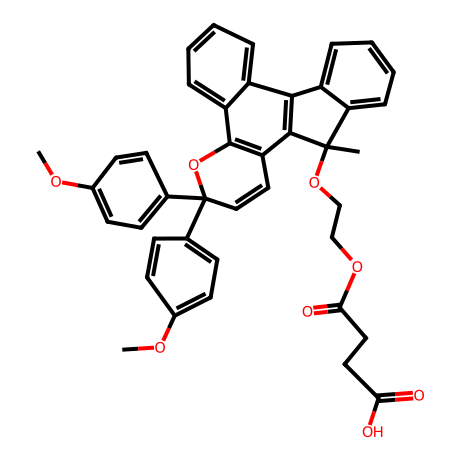 COc1ccc(C2(c3ccc(OC)cc3)C=Cc3c4c(c5ccccc5c3O2)-c2ccccc2C4(C)OCCOC(=O)CCC(=O)O)cc1